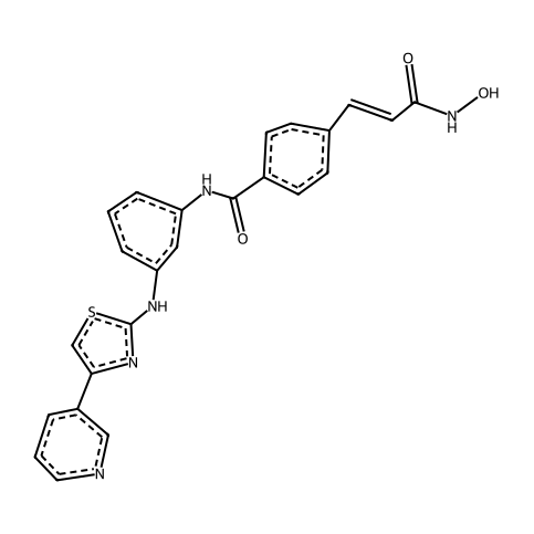 O=C(/C=C/c1ccc(C(=O)Nc2cccc(Nc3nc(-c4cccnc4)cs3)c2)cc1)NO